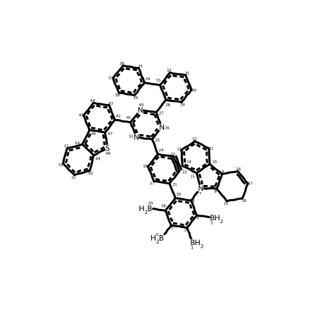 Bc1c(B)c(B)c(-n2c3c(c4ccccc42)C=CCC3)c(-c2c#cc(-c3nc(-c4ccccc4-c4ccccc4)nc(-c4cccc5c4sc4ccccc45)n3)cc2)c1B